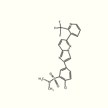 CN(C)S(=O)(=O)c1cc(-c2cn3nc(-c4cccnc4C(F)(F)F)ccc3n2)ccc1Cl